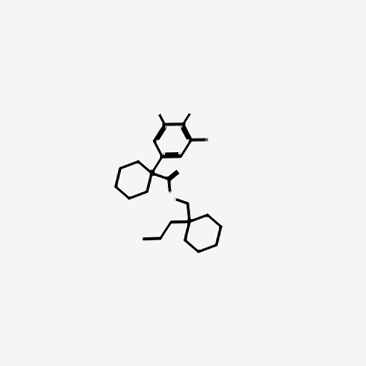 CCCC1(COC(=O)C2(c3cc(F)c(F)c(F)c3)CCCCC2)CCCCC1